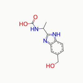 CC(NC(=O)O)c1nc2cc(CO)ccc2[nH]1